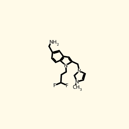 CN1C=CN(Cc2cc3cc(CN)ccc3n2CCC(F)F)C1